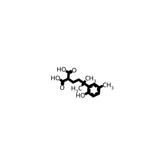 Cc1ccc(O)c(C(C)(C)CCC(C(=O)O)C(=O)O)c1